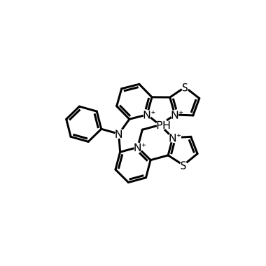 c1ccc(N2c3cccc4[n+]3C[PH]3([n+]5ccsc5-4)[n+]4ccsc4-c4cccc2[n+]43)cc1